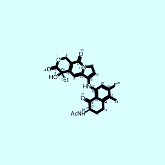 CC[C@@]1(O)C(=O)OCc2c1cc1n(c2=O)CC=C1Nc1cc(F)c(C)c2c1C(=O)[C@H](NC(C)=O)CC2